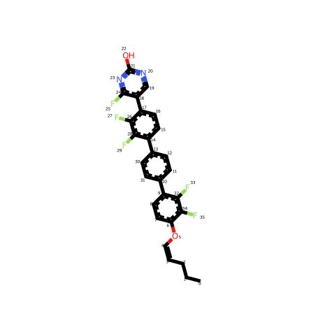 CCC/C=C\Oc1ccc(-c2ccc(-c3ccc(-c4cnc(O)nc4F)c(F)c3F)cc2)c(F)c1F